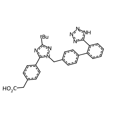 CC(C)(C)c1nc(-c2ccc(CC(=O)O)cc2)n(Cc2ccc(-c3ccccc3-c3nnn[nH]3)cc2)n1